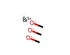 C[O-].C[O-].C[O-].[Bi+3]